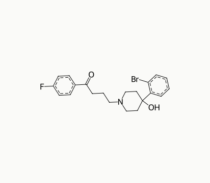 O=C(CCCN1CCC(O)(c2ccccc2Br)CC1)c1ccc(F)cc1